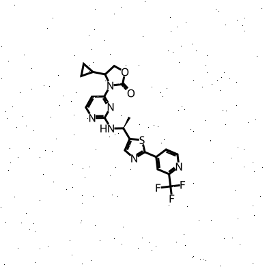 C[C@H](Nc1nccc(N2C(=O)OCC2C2CC2)n1)c1cnc(-c2ccnc(C(F)(F)F)c2)s1